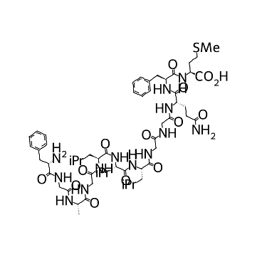 CSCC[C@H](NC(=O)[C@H](Cc1ccccc1)NC(=O)[C@H](CCC(N)=O)NC(=O)CNC(=O)CNC(=O)[C@H](CC(C)C)NC(=O)[C@@H](NC(=O)[C@H](CC(C)C)NC(=O)CNC(=O)[C@H](C)NC(=O)CNC(=O)[C@@H](N)Cc1ccccc1)C(C)C)C(=O)O